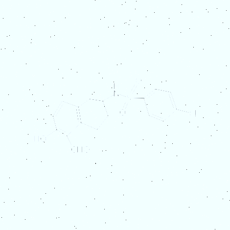 O=Cc1c(O)ccc2c1CCC(NS(=O)(=O)c1ccc(Cl)cc1)C2